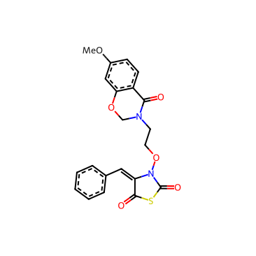 COc1ccc2c(c1)OCN(CCON1C(=O)SC(=O)C1=Cc1ccccc1)C2=O